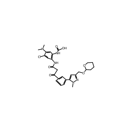 CN(C)c1cc(NC(=O)O)c(NC(=O)CC(=O)c2cccc(-c3cc(COC4CCCCO4)nn3C)c2)cc1Cl